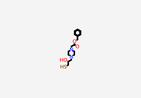 O=C(CN1CCN(C[C@@H](O)CS)CC1)OCc1ccccc1